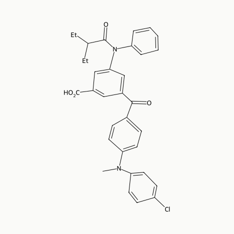 CCC(CC)C(=O)N(c1ccccc1)c1cc(C(=O)O)cc(C(=O)c2ccc(N(C)c3ccc(Cl)cc3)cc2)c1